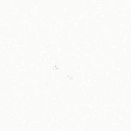 CC(C)C1NC(O)NC1=O